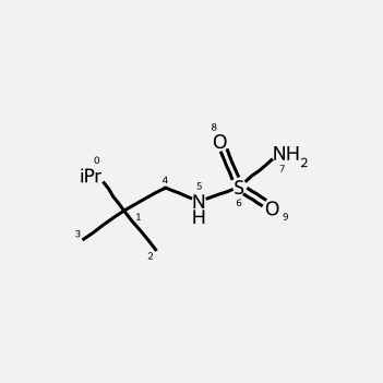 CC(C)C(C)(C)CNS(N)(=O)=O